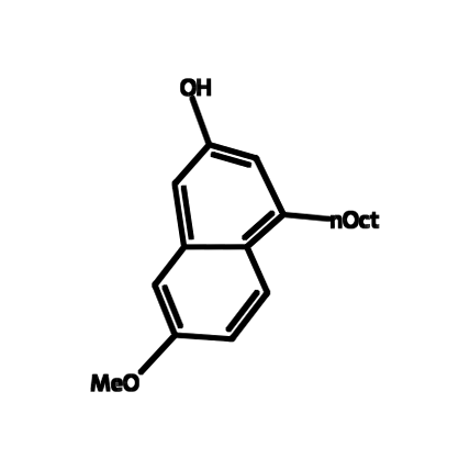 CCCCCCCCc1cc(O)cc2cc(OC)ccc12